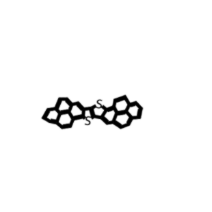 c1cc2ccc3cc4c(sc5c6cc7ccc8cccc9ccc(c6sc45)c7c89)c4ccc(c1)c2c34